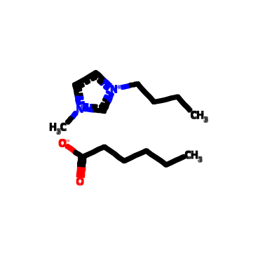 CCCCCC(=O)[O-].CCCC[n+]1ccn(C)c1